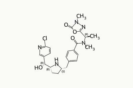 C[C@H](c1nn(C)c(=O)o1)N(C)C(=O)c1ccc(C[C@@H]2CC[C@H]([C@H](O)c3ccc(Cl)nc3)N2)cc1